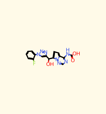 O=C(O)Nc1ncnn2c(C(O)c3cn(-c4ccccc4F)nn3)ccc12